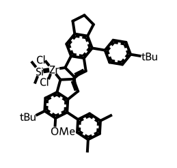 COc1c(C(C)(C)C)cc2c(c1-c1cc(C)cc(C)c1)C=C(C)[CH]2[Zr]([Cl])([Cl])([CH]1C(C)=Cc2c1cc1c(c2-c2ccc(C(C)(C)C)cc2)CCC1)=[Si](C)C